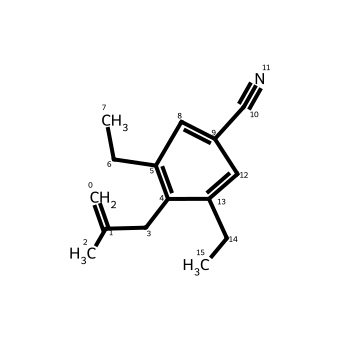 C=C(C)Cc1c(CC)cc(C#N)cc1CC